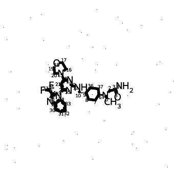 CN(CC(N)=O)[C@H]1CC[C@H](CNc2nc(N3CCOCC3)cc(-n3c(C(F)F)nc4ccccc43)n2)CC1